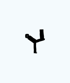 [CH2]C(=O)[C]=C